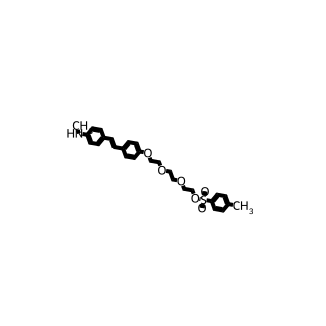 CNc1ccc(C=Cc2ccc(OCCOCCOCCOS(=O)(=O)c3ccc(C)cc3)cc2)cc1